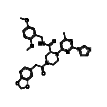 COc1ccc(OC)c(CNC(=O)C2CN(C(=O)Cc3ccc4c(c3)OCO4)CCN2c2cc(C)nc(-n3ccnc3)n2)c1